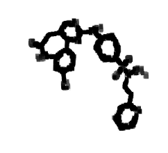 CN(CCc1ccccn1)S(=O)(=O)c1ccc(Nc2ncc3c(n2)-c2ccc(Cl)cc2NC(=O)C3)cc1